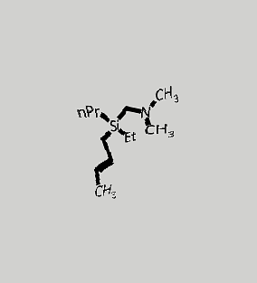 C/C=C/C[Si](CC)(CCC)CN(C)C